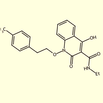 CCNC(=O)c1c(O)c2ccccc2n(OCCc2ccc(C(F)(F)F)cc2)c1=O